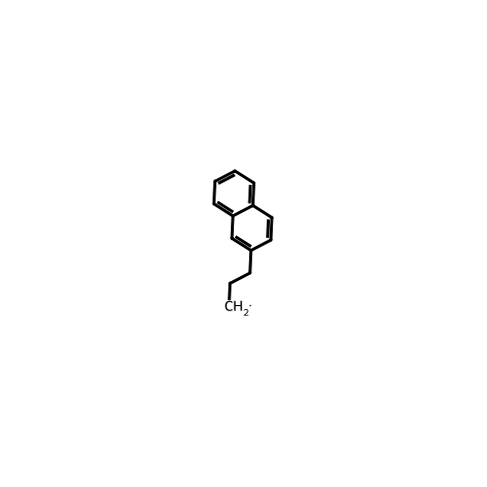 [CH2]CCc1ccc2ccccc2c1